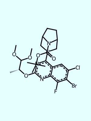 COC(OC)[C@@H](C)Oc1nc(N2CC3CCC(C2)N3C(=O)OC(C)(C)C)c2cc(Cl)c(Br)c(F)c2n1